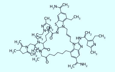 C=CCCC(C(=O)N(C)[C@@H](C)C(=O)CCCCCc1cc(C(=C)N)cc2nc(NC(=C)C3=C(CC)N=C(C)C3)n(C/C=C/Cn3/c(=N/C(=O)c4cc(C)nn4CC)sc4cc(C(=C)N)cc(CC)c43)c12)N(C)C(=C)CN1C(=C)CC(C)C1=C